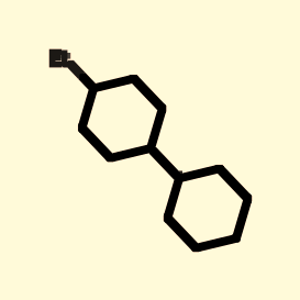 CCC1CCC([C]2CCCCC2)CC1